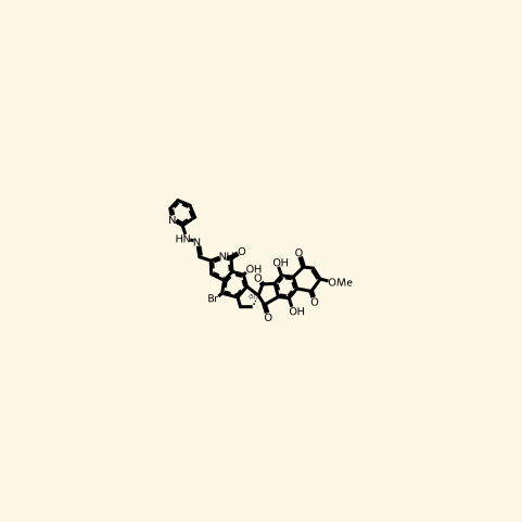 COC1=CC(=O)c2c(O)c3c(c(O)c2C1=O)C(=O)[C@]1(CCc2c1c(O)c1c(=O)[nH]c(C=NNc4ccccn4)cc1c2Br)C3=O